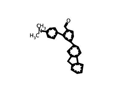 CN(C)c1ccc(-c2cc(-c3ccc4c(c3)Cc3ccccc3-4)ccc2C=O)cc1